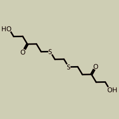 O=C(CCO)CCSCCSCCC(=O)CCO